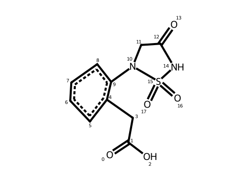 O=C(O)Cc1ccccc1N1CC(=O)NS1(=O)=O